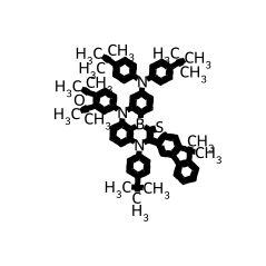 CC(C)(C)c1ccc(N(c2ccc(C(C)(C)C)cc2)c2ccc3c(c2)N(c2ccc4c(c2)C(C)(C)OC4(C)C)c2cccc4c2B3c2sc3cc5c(cc3c2N4c2ccc(C(C)(C)C)cc2)-c2ccccc2C5(C)C)cc1